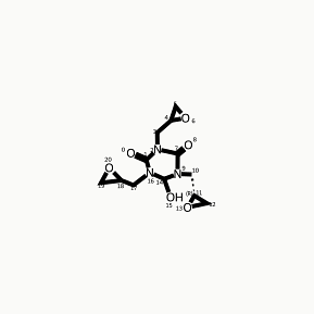 O=C1N(CC2CO2)C(=O)N(C[C@@H]2CO2)C(O)N1CC1CO1